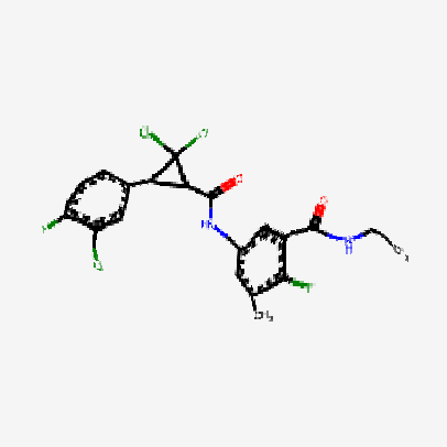 Cc1cc(NC(=O)C2C(c3ccc(F)c(Cl)c3)C2(Cl)Cl)cc(C(=O)NCC(F)(F)F)c1F